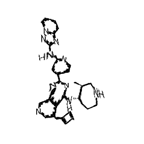 C[C@H]1CNCC[C@@H]1Nc1nc(-c2ccnc(Nc3nc4ccccn4n3)c2)nc2cncc(C3=CC=C3)c12